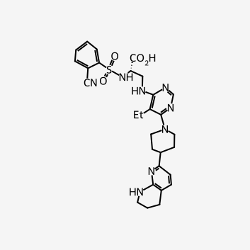 CCc1c(NC[C@H](NS(=O)(=O)c2ccccc2C#N)C(=O)O)ncnc1N1CCC(c2ccc3c(n2)NCCC3)CC1